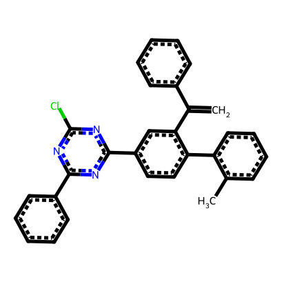 C=C(c1ccccc1)c1cc(-c2nc(Cl)nc(-c3ccccc3)n2)ccc1-c1ccccc1C